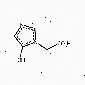 O=C(O)Cn1cncc1O